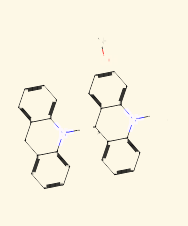 CN1c2ccccc2Cc2ccccc21.CN1c2ccccc2Cc2ccccc21.O=[N+]([O-])O